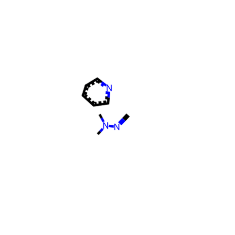 C=NN(C)C.c1ccncc1